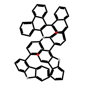 c1ccc(N(c2ccc(-c3cccc4sc5ccccc5c34)cc2)c2c(-c3cccc4ccccc34)c3ccccc3c3ccccc23)c(-c2cccc3c2oc2ccccc23)c1